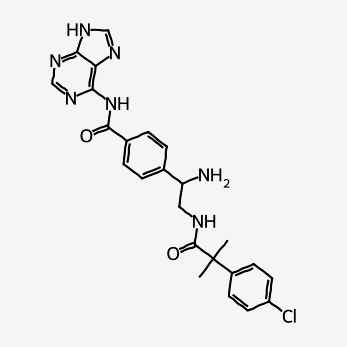 CC(C)(C(=O)NCC(N)c1ccc(C(=O)Nc2ncnc3[nH]cnc23)cc1)c1ccc(Cl)cc1